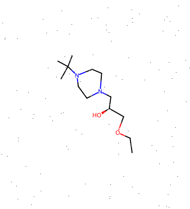 CCOC[C@@H](O)CN1CCN(C(C)(C)C)CC1